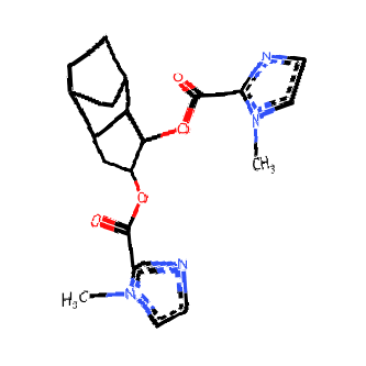 Cn1ccnc1C(=O)OC1CC2C3CCC(C3)C2C1OC(=O)c1nccn1C